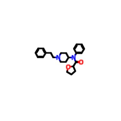 O=C(C1CCCO1)N(c1ccccc1)C1CCN(CCc2ccccc2)CC1